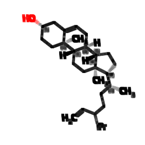 C=CC(CC[C@@H](C)[C@H]1CC[C@H]2[C@@H]3CC=C4C[C@@H](O)CC[C@]4(C)[C@H]3CC[C@]12C)C(C)C